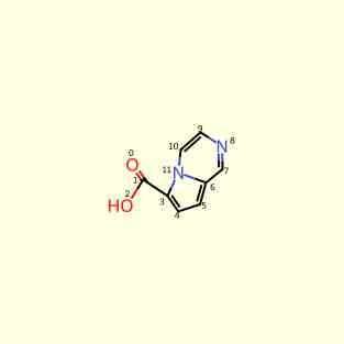 O=C(O)c1ccc2cnccn12